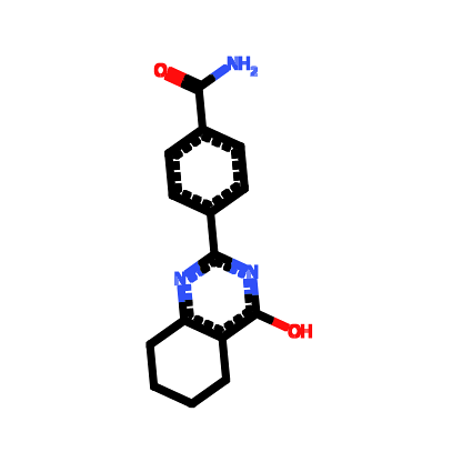 NC(=O)c1ccc(-c2nc(O)c3c(n2)CCCC3)cc1